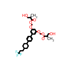 C=C(CO)C(=O)OCOc1cc(OCOC(=O)C(=C)CO)cc(-c2ccc(C3CCC(CCC(F)(F)F)CC3)cc2)c1